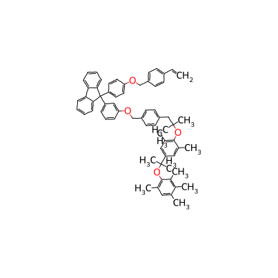 C=Cc1ccc(COc2ccc(C3(c4cccc(OCc5ccc(CC(C)(C)Oc6c(C)cc(C(C)(C)Oc7c(C)cc(C)c(C)c7C)cc6C)cc5)c4)c4ccccc4-c4ccccc43)cc2)cc1